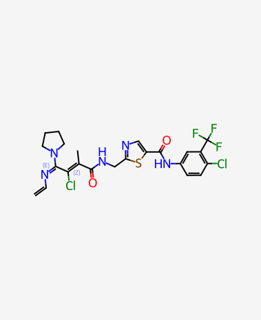 C=C/N=C(\C(Cl)=C(/C)C(=O)NCc1ncc(C(=O)Nc2ccc(Cl)c(C(F)(F)F)c2)s1)N1CCCC1